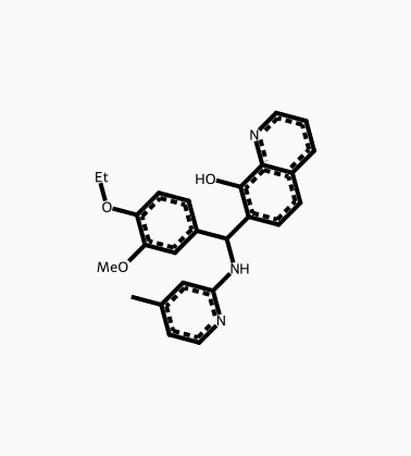 CCOc1ccc(C(Nc2cc(C)ccn2)c2ccc3cccnc3c2O)cc1OC